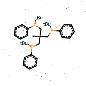 CC(CP(c1ccccc1)C(C)(C)C)(CP(c1ccccc1)C(C)(C)C)CP(c1ccccc1)C(C)(C)C